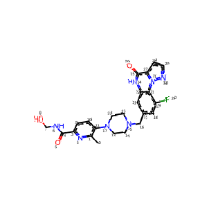 Cc1nc(C(=O)NCO)ccc1N1CCN(Cc2cc(F)c3c(c2)[nH]c(=O)c2ccnn23)CC1